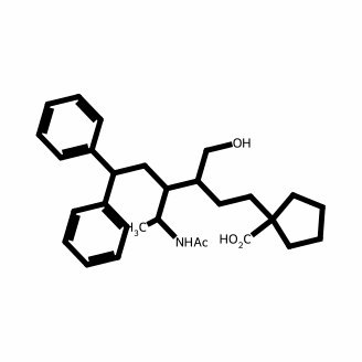 CC(=O)NC(C)C(CC(c1ccccc1)c1ccccc1)C(CO)CCC1(C(=O)O)CCCC1